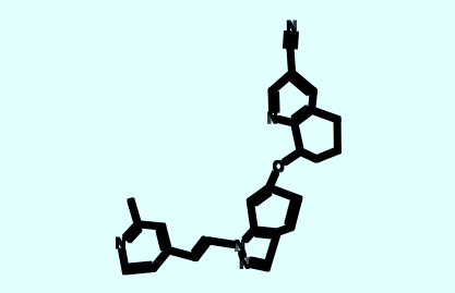 Cc1cc(/C=C/n2ncc3ccc(OC4CCCc5cc(C#N)cnc54)cc32)ccn1